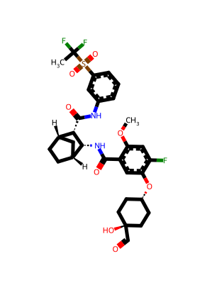 COc1cc(F)c(O[C@H]2CC[C@@](O)(C=O)CC2)cc1C(=O)N[C@@H]1[C@@H]2CC[C@@H](C2)[C@@H]1C(=O)Nc1cccc(S(=O)(=O)C(C)(F)F)c1